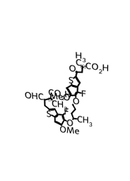 COc1cc2sc(CC(C=O)[C@H](C)C(=O)O)cc2c(F)c1OC(C)CCCOc1c(OC)cc2sc(C(=O)C[C@H](C)C(=O)O)cc2c1F